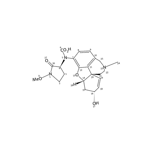 CON1CC[C@H](N(C(=O)O)c2ccc3c4c2O[C@H]2C[C@@H](O)C=C[C@@]42CCN(C)C3)C1=O